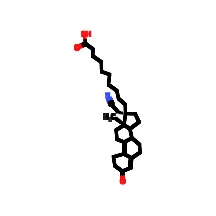 C[C@]12CCC3=C4CCC(=O)C=C4CCC3C1CC[C@]2(CC#N)CCCCCCCCCC(=O)O